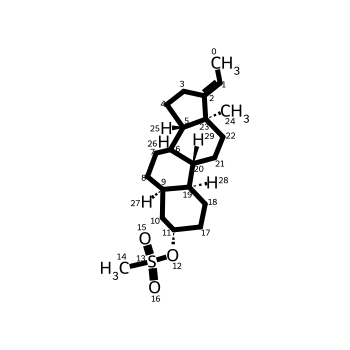 CC=C1CC[C@H]2[C@@H]3CC[C@@H]4C[C@@H](OS(C)(=O)=O)CC[C@@H]4[C@H]3CC[C@]12C